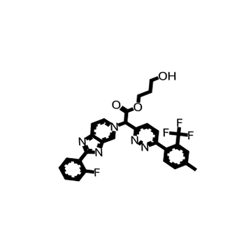 Cc1ccc(-c2ccc(C(C(=O)OCCCO)n3ccc4nc(-c5ccccc5F)nc-4c3)nn2)c(C(F)(F)F)c1